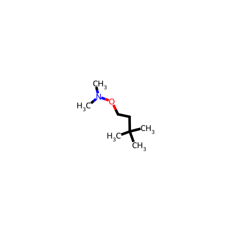 CN(C)OCCC(C)(C)C